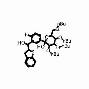 CCCCOCC1OC(O)(c2ccc(F)c(C(O)C3Cc4ccccc4S3)c2)C(OCCCC)C(OCCCC)C1OCCCC